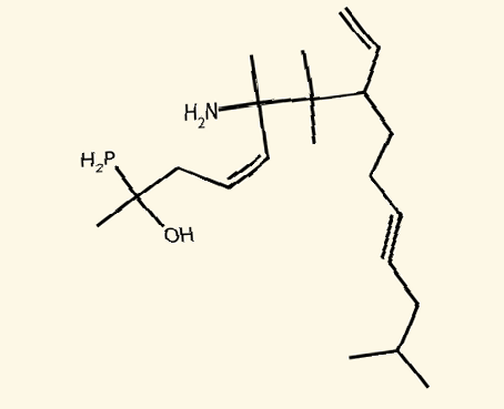 C=CC(CC/C=C/CC(C)C)C(C)(C)C(C)(N)/C=C\CC(C)(O)P